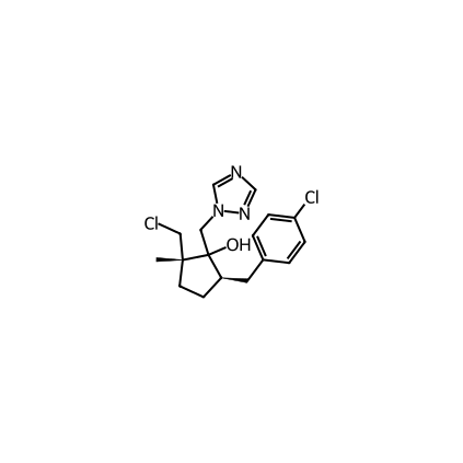 C[C@]1(CCl)CC[C@H](Cc2ccc(Cl)cc2)C1(O)Cn1cncn1